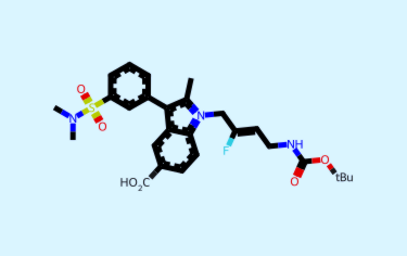 Cc1c(-c2cccc(S(=O)(=O)N(C)C)c2)c2cc(C(=O)O)ccc2n1C/C(F)=C/CNC(=O)OC(C)(C)C